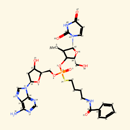 COC1C(OP(=O)(OC[C@H]2O[C@@H](n3cnc4c(N)ncnc43)CC2O)SCCCCNC(=O)c2ccccc2)[C@@H](CO)O[C@H]1n1ccc(=O)[nH]c1=O